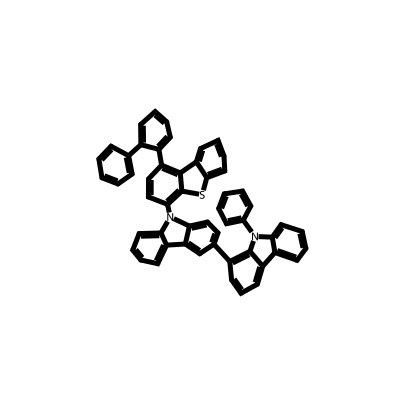 c1ccc(-c2ccccc2-c2ccc(-n3c4ccccc4c4cc(-c5cccc6c7ccccc7n(-c7ccccc7)c56)ccc43)c3sc4ccccc4c23)cc1